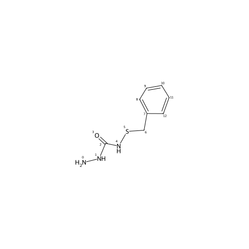 NNC(=O)NSCc1ccccc1